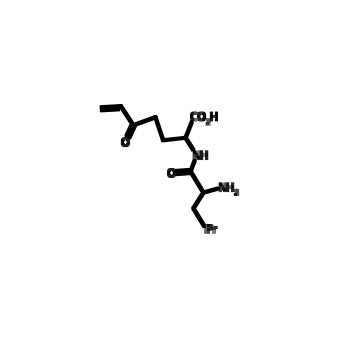 C=CC(=O)CCC(NC(=O)C(N)CC(C)C)C(=O)O